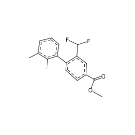 COC(=O)c1ccc(-c2cccc(C)c2C)c(C(F)F)c1